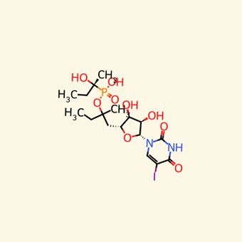 CCC(C)(C[C@H]1O[C@@H](n2cc(I)c(=O)[nH]c2=O)[C@H](O)[C@@H]1O)OP(=O)(O)[C@@](C)(O)CC